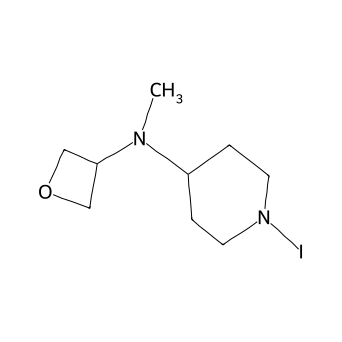 CN(C1CCN(I)CC1)C1COC1